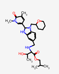 Cc1cc(C2Nc3cc(CNC(C(=O)OCC(C)C)C(C)O)ccc3N2CC2CCCCO2)cn(C)c1=O